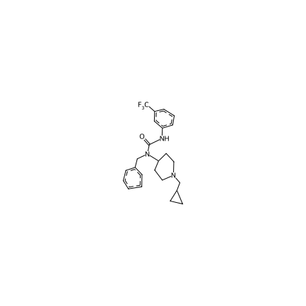 O=C(Nc1cccc(C(F)(F)F)c1)N(Cc1ccccc1)C1CCN(CC2CC2)CC1